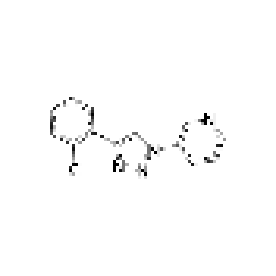 Clc1ccccc1-c1cn(-c2cccnc2)nn1